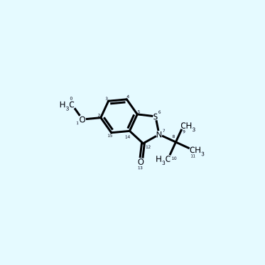 COc1ccc2sn(C(C)(C)C)c(=O)c2c1